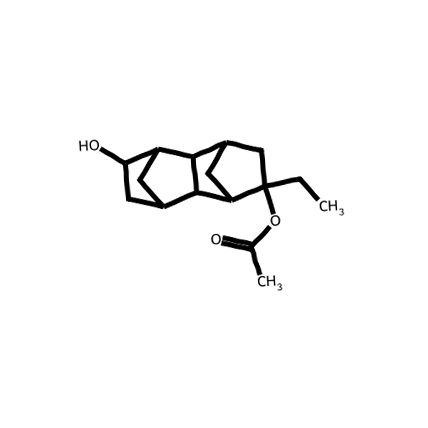 CCC1(OC(C)=O)CC2CC1C1C3CC(O)C(C3)C21